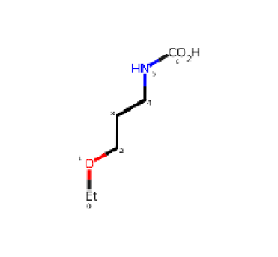 CCOCCCNC(=O)O